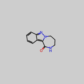 O=C1NCCCn2nc3ccccc3c21